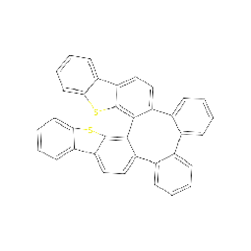 c1ccc2c(c1)-c1ccccc1-c1ccc3c(sc4ccccc43)c1-c1c-2ccc2c1sc1ccccc12